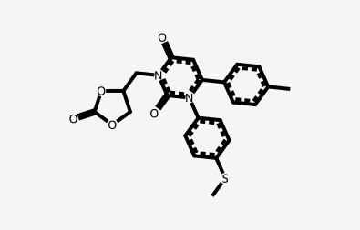 CSc1ccc(-n2c(-c3ccc(C)cc3)cc(=O)n(CC3COC(=O)O3)c2=O)cc1